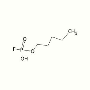 CCCCCOP(=O)(O)F